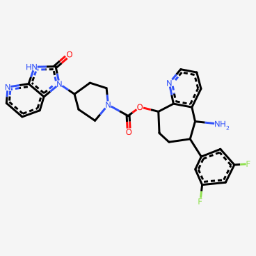 NC1c2cccnc2C(OC(=O)N2CCC(n3c(=O)[nH]c4ncccc43)CC2)CCC1c1cc(F)cc(F)c1